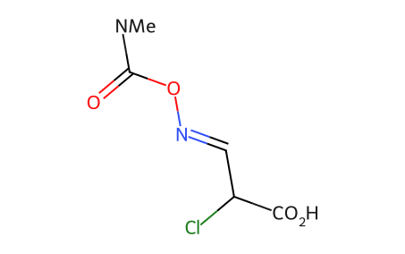 CNC(=O)ON=CC(Cl)C(=O)O